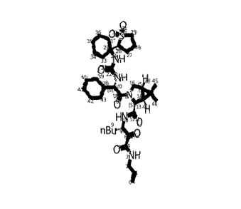 C=CCNC(=O)C(=O)[C@H](CCCC)NC(=O)[C@@H]1[C@@H]2[C@H](CN1C(=O)[C@@H](NC(=O)NC1([C@@H]3CCCS3(=O)=O)CCCCC1)C1CCCCC1)C2(C)C